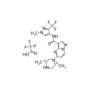 C[C@@H]1CN(c2ccn3ncc(C(=O)Nc4cn(C)nc4C(F)(F)F)c3n2)[C@H](C)CN1.O=C(O)C(F)(F)F